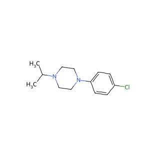 CC(C)N1CCN(c2ccc(Cl)cc2)CC1